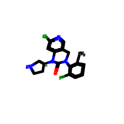 Cc1cccc(F)c1N1Cc2cnc(Cl)cc2N([C@H]2CCNC2)C1=O